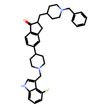 O=C1c2ccc(C3CCN(Cc4c[nH]c5cccc(F)c45)CC3)cc2CC1CC1CCN(Cc2ccccc2)CC1